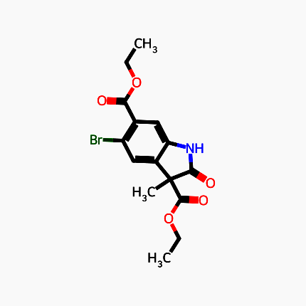 CCOC(=O)c1cc2c(cc1Br)C(C)(C(=O)OCC)C(=O)N2